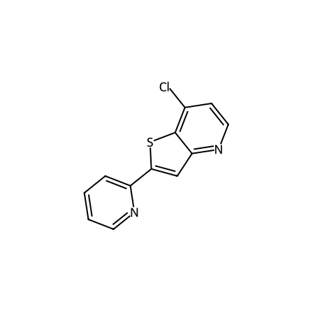 Clc1ccnc2cc(-c3ccccn3)sc12